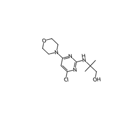 CC(C)(CO)Nc1nc(Cl)cc(N2CCOCC2)n1